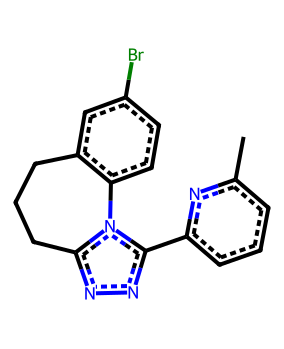 Cc1cccc(-c2nnc3n2-c2ccc(Br)cc2CCC3)n1